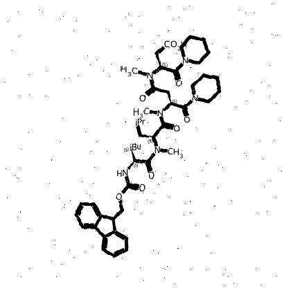 CC[C@H](C)[C@H](NC(=O)OCC1c2ccccc2-c2ccccc21)C(=O)N(C)[C@@H](CC(C)C)C(=O)N(C)[C@@H](CC(=O)N(C)[C@@H](CC(=O)O)C(=O)N1CCCCC1)C(=O)N1CCCCC1